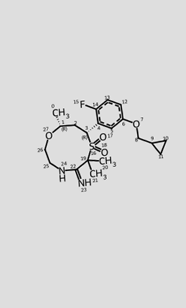 C[C@@H]1C[C@H](c2cc(OCC3CC3)ccc2F)S(=O)(=O)C(C)(C)C(=N)NCCO1